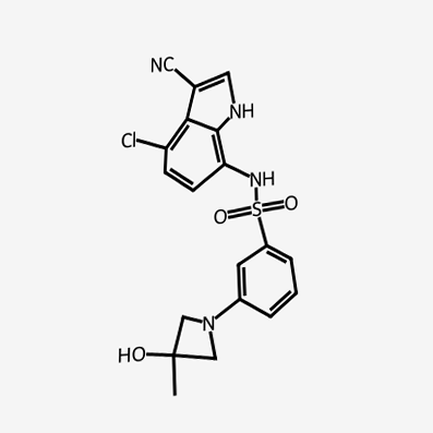 CC1(O)CN(c2cccc(S(=O)(=O)Nc3ccc(Cl)c4c(C#N)c[nH]c34)c2)C1